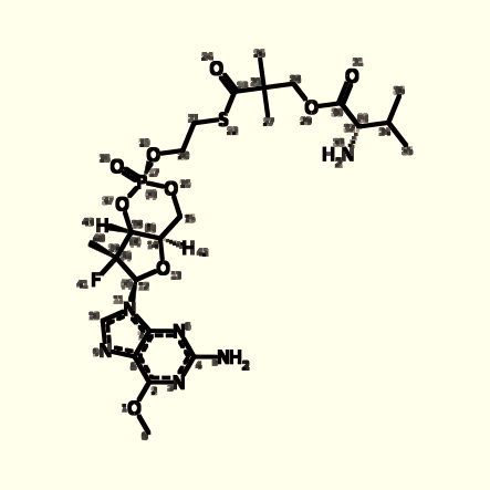 COc1nc(N)nc2c1ncn2[C@@H]1O[C@@H]2CO[P@](=O)(OCCSC(=O)C(C)(C)COC(=O)[C@@H](N)C(C)C)O[C@H]2[C@@]1(C)F